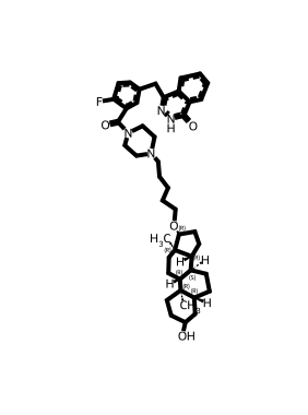 C[C@@]12CCC(O)C[C@H]1CC[C@H]1[C@H]2CC[C@]2(C)[C@@H]1CC[C@H]2OCCCCCN1CCN(C(=O)c2cc(Cc3n[nH]c(=O)c4ccccc34)ccc2F)CC1